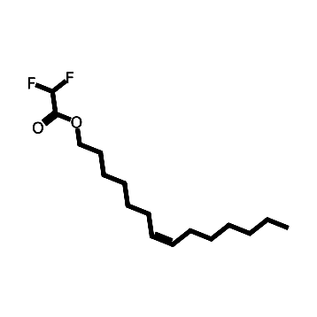 CCCCCC/C=C\CCCCCCOC(=O)C(F)F